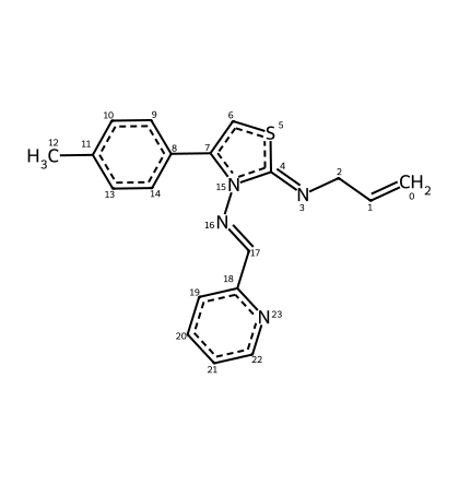 C=CC/N=c1\scc(-c2ccc(C)cc2)n1/N=C/c1ccccn1